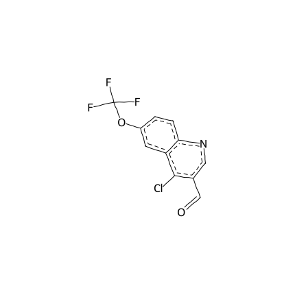 O=Cc1cnc2ccc(OC(F)(F)F)cc2c1Cl